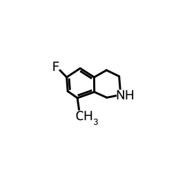 Cc1cc(F)cc2c1CNCC2